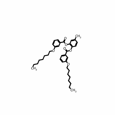 CCCCCCCCOc1cccc(C(=O)Oc2ccc(C)cc2OC(=O)c2cccc(OCCCCCCCC)c2)c1